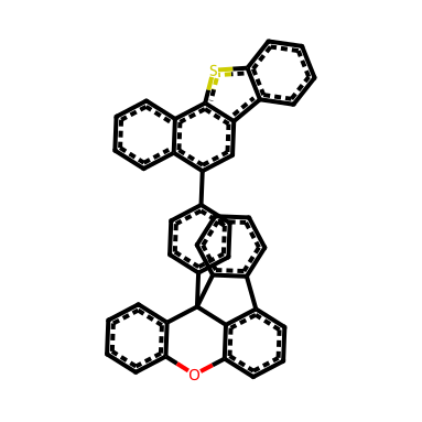 c1ccc2c(c1)Oc1cccc3c1C2(c1ccc(-c2cc4c5ccccc5sc4c4ccccc24)cc1)c1ccccc1-3